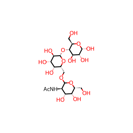 CC(=O)N[C@H]1C(OC[C@H]2O[C@@H](O[C@H]3[C@H](O)[C@@H](O)[C@@H](O)O[C@@H]3CO)[C@H](O)[C@@H](O)[C@H]2O)O[C@H](CO)[C@H](O)[C@@H]1O